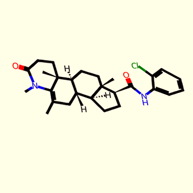 CC1=C2N(C)C(=O)CC[C@]2(C)[C@H]2CC[C@]3(C)[C@@H](C(=O)Nc4ccccc4Cl)CC[C@H]3[C@@H]2C1